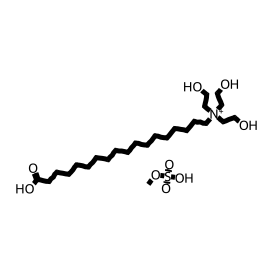 COS(=O)(=O)O.O=C(O)CCCCCCCCCCCCCCCCC[N+](CCO)(CCO)CCO